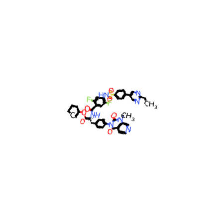 CCc1ncc(-c2ccc(S(=O)(=O)Nc3cc(F)c(C(=O)N[C@@H](Cc4ccc(-n5c(=O)c6ccncc6n(C)c5=O)cc4)C(=O)OC4CCCCC4)cc3F)cc2)cn1